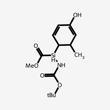 COC(=O)[Si@@H](NC(=O)OC(C)(C)C)C1C=CC(O)=CC1C